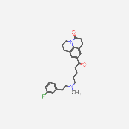 CN(CCCCC(=O)c1cc2c3c(c1)CCC(=O)N3CCC2)CCc1cccc(F)c1